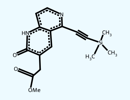 COC(=O)Cc1cc2c(C#C[Si](C)(C)C)nccc2[nH]c1=O